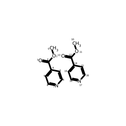 COC(=O)c1ccncc1.COC(=O)c1ccncc1